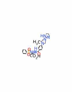 CC1CN(C2=NCCCN2)CCN1c1ccc(C(=O)NC[C@H](NS(=O)(=O)c2ccccc2)C(=O)O)cc1